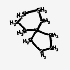 [SiH2]1[SiH2][SiH2][Si]2([SiH2][SiH2]1)[SiH2][SiH2][SiH2][SiH2]2